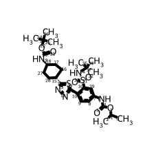 CC(C)OC(=O)Nc1ccc(-c2nnc([C@H]3CC[C@H](NC(=O)OC(C)(C)C)CC3)s2)c(S(=O)(=O)NC(C)(C)C)c1